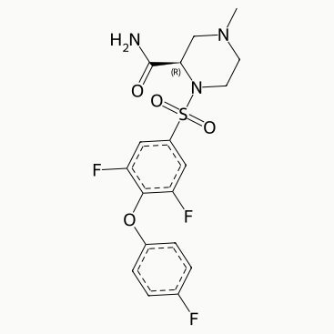 CN1CCN(S(=O)(=O)c2cc(F)c(Oc3ccc(F)cc3)c(F)c2)[C@@H](C(N)=O)C1